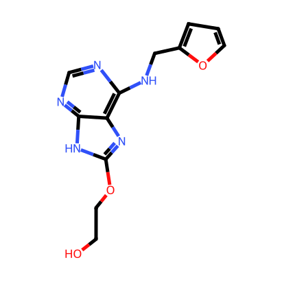 OCCOc1nc2c(NCc3ccco3)ncnc2[nH]1